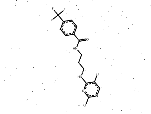 O=C(NCCCNc1nc(Cl)ncc1Cl)c1ccc(C(F)(F)F)cc1